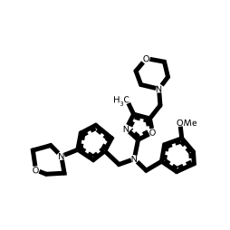 COc1cccc(CN(Cc2cccc(N3CCOCC3)c2)c2nc(C)c(CN3CCOCC3)o2)c1